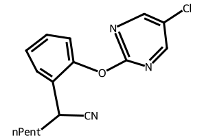 CCCCCC(C#N)c1ccccc1Oc1ncc(Cl)cn1